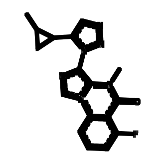 CC1CC1c1cnnn1-c1ncn2c3cccc(F)c3c(=O)n(C)c12